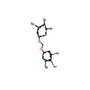 Brc1cc(OCOc2cc(Br)c(Br)c(Br)c2)cc(Br)c1Br